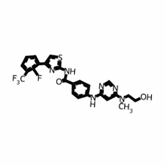 CN(CCO)c1cc(Nc2ccc(C(=O)Nc3nc(-c4cccc(C(F)(F)F)c4F)cs3)cc2)ncn1